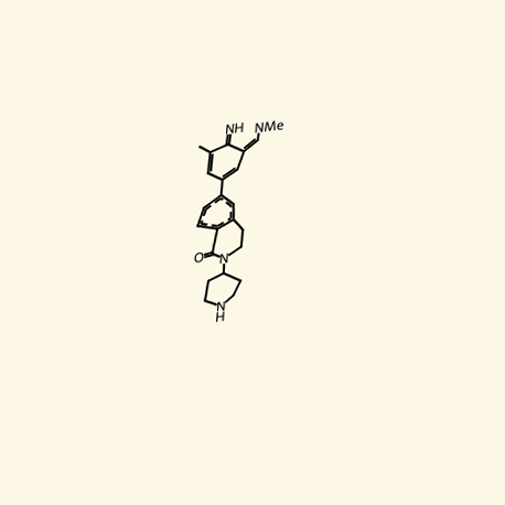 CN/C=C1/C=C(c2ccc3c(c2)CCN(C2CCNCC2)C3=O)C=C(C)C1=N